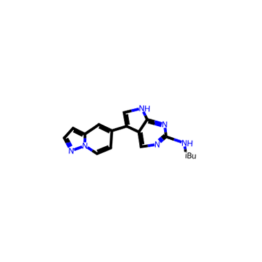 CCC(C)Nc1ncc2c(-c3ccn4nccc4c3)c[nH]c2n1